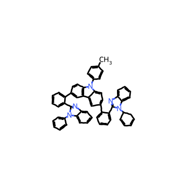 Cc1ccc(-n2c3ccc(-c4ccccc4-c4nc5ccccc5n4-c4ccccc4)cc3c3cc(-c4ccccc4-c4nc5ccccc5n4C4C=CC=CC4)ccc32)cc1